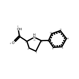 O=C(O)C1CCC(c2ccccc2)N1